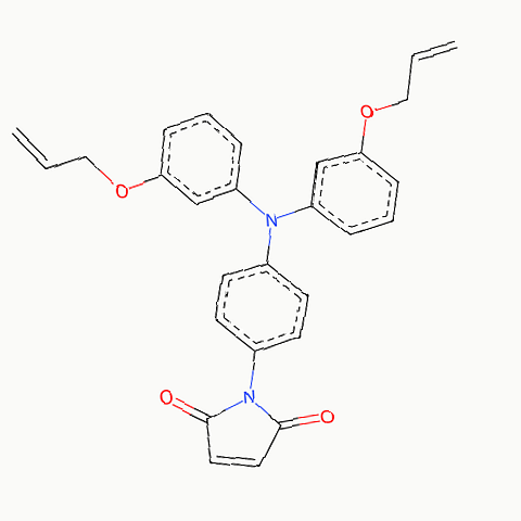 C=CCOc1cccc(N(c2ccc(N3C(=O)C=CC3=O)cc2)c2cccc(OCC=C)c2)c1